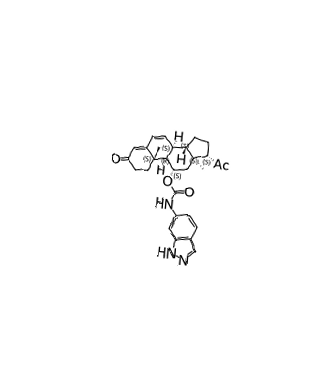 CC(=O)[C@H]1CC[C@H]2[C@@H]3C=CC4=CC(=O)CC[C@@]4(C)[C@@H]3[C@@H](OC(=O)Nc3ccc4cn[nH]c4c3)C[C@]12C